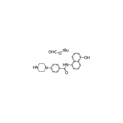 CC(C)(C)OC=O.O=C(Nc1cccc2c(O)cccc12)c1ccc(N2CCNCC2)cc1